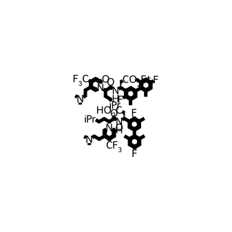 CCOC(=O)C[C@H](NC(=O)C(CCC(C)C)n1cc(CCN(C)C)c(C(F)(F)F)cc1=O)c1cc(-c2c(C)cc(F)cc2C)cc(C)c1F.Cc1cc(-c2c(C)cc(F)cc2C)cc([C@H](CC(=O)O)NC(=O)C(CCC(C)C)n2cc(CCN(C)C)c(C(F)(F)F)cc2=O)c1F